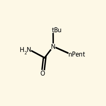 CCCCCN(C(N)=O)C(C)(C)C